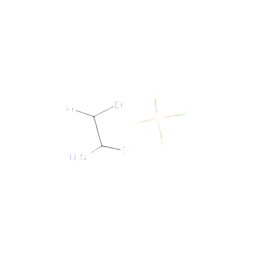 CCC([NH3+])C(CC)CC.F[B-](F)(F)F